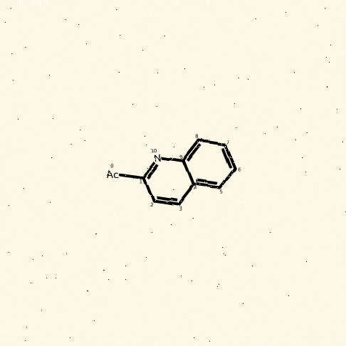 CC(=O)c1ccc2c[c]ccc2n1